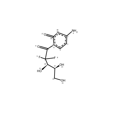 Nc1ccn(C(=O)C(F)(F)[C@H](O)[C@@H](O)CO)c(=O)n1